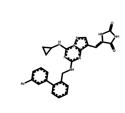 CC(=O)c1cccc(-c2ccccc2CNc2nc(NC3CC3)n3ncc(/C=C4\NC(=O)NC4=O)c3n2)c1